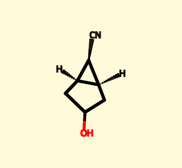 N#C[C@H]1[C@H]2CC(O)C[C@@H]12